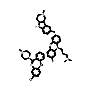 CN(C)CCCN1c2ccccc2Sc2ccc(Cl)cc21.CN1CCN(C2=Nc3cc(Cl)ccc3Nc3ccccc32)CC1.Cc1ccc2c(c1)C1CN(C)CCC1N2